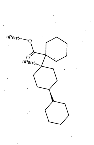 CCCCCOC(=O)C1([C@]2(CCCCC)CC[C@H](C3CCCCC3)CC2)CCCCC1